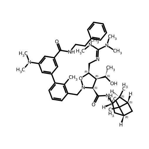 Cc1c(CN2O[C@@H](CN=C(N(C)C)N(C)C)[C@@H]([C@H](C)O)[C@H]2C(=O)N[C@H]2C[C@H]3C[C@@H]([C@@H]2C)C3(C)C)cccc1-c1cc(C(=O)NCCc2ccccc2)cc(N(C)C)c1